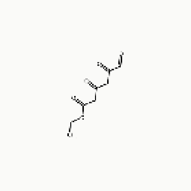 CCOC(=O)CC(=O)CC(=O)[C]=O